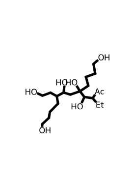 CCC(C(C)=O)C(O)C(O)(CCCCO)CC(O)C(CCO)CCCCO